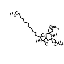 CCCCCCCCCCCC1NC(=O)C2(CC(CC)(CC)NC(CC)(CC)C2)O1